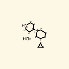 C1C[C@H](C2CC2)CN(C2CCNCC2)C1.Cl